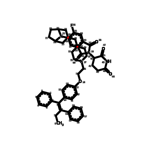 CCC(=C(c1ccccc1)c1ccc(OCCN2CCC(CN3CC4CCC(C3)N4c3cc4c(cc3F)C(=O)N(C3CCC(=O)NC3=O)C4=O)CC2)cc1)c1ccccc1